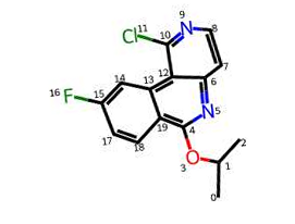 CC(C)Oc1nc2ccnc(Cl)c2c2cc(F)ccc12